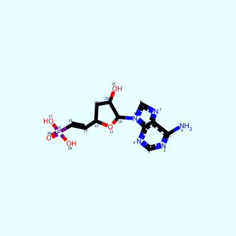 Nc1ncnc2c1ncn2C1OC(C=CP(=O)(O)O)CC1O